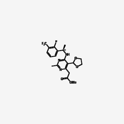 COC(=O)Cc1nc(C)nc(N[C@H](C)c2cccc(C(F)(F)F)c2F)c1C1OCCO1